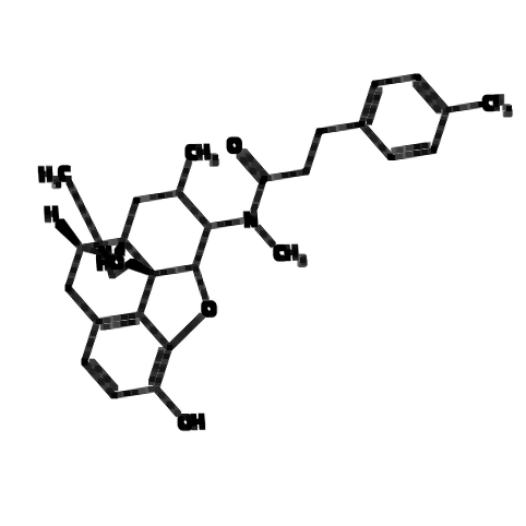 CC1C[C@@]2(O)[C@H]3Cc4ccc(O)c5c4[C@@]2(CCN3C)C(O5)C1N(C)C(=O)CCc1ccc(C(F)(F)F)cc1